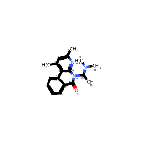 Cc1cc(C)c2c3ccccc3c(=O)n(C(C)N(C)C)c2n1